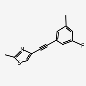 Cc1cc(F)cc(C#Cc2csc(C)n2)c1